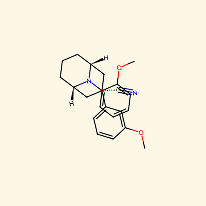 COc1cccc([C@]2(C#N)C[C@H]3CCC[C@@H](C2)N3c2ccccc2OC)c1